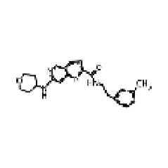 Cc1cccc(CCNC(=O)c2ccc3cnc(NC4CCOCC4)cc3n2)c1